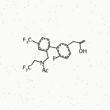 C=C(O)Cc1ccc(F)c(-c2ccc(C(F)(F)F)cc2CN(CC(F)(F)F)C(C)=O)c1